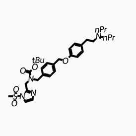 CCCN(CCC)CCc1ccc(OCc2ccc(CN(Cc3nccn3S(C)(=O)=O)C(=O)OC(C)(C)C)cc2)cc1